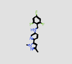 Cc1cc(-c2ccc(NCc3c(F)cc(F)cc3F)cn2)n(C)n1